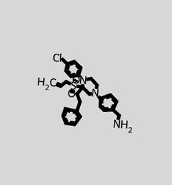 C=CCS(=O)(=O)C1(CCc2ccccc2)CN(c2ccc(CN)cc2)CCN1c1ccc(Cl)cc1